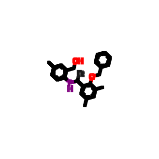 CCC(Pc1ccc(C)cc1CO)c1cc(C)cc(C)c1OCc1ccccc1